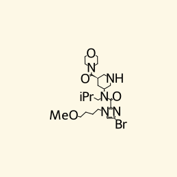 COCCCCn1cc(Br)nc1C(=O)N(CC(C)C)[C@@H]1CNC[C@H](C(=O)N2CCOCC2)C1